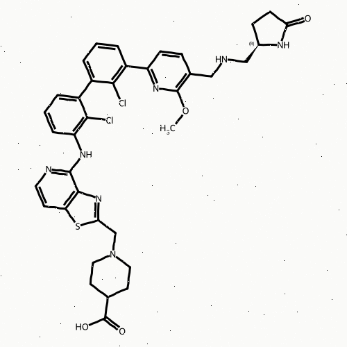 COc1nc(-c2cccc(-c3cccc(Nc4nccc5sc(CN6CCC(C(=O)O)CC6)nc45)c3Cl)c2Cl)ccc1CNC[C@H]1CCC(=O)N1